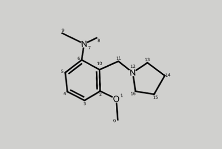 COc1cccc(N(C)C)c1CN1CCCC1